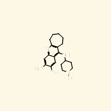 CCN1CCC(Nc2c3c(nc4cc(O)c(O)cc24)CCCCC3)CC1